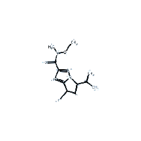 CON(C)C(=O)c1nc2n(n1)C(C(C)C)CC2F